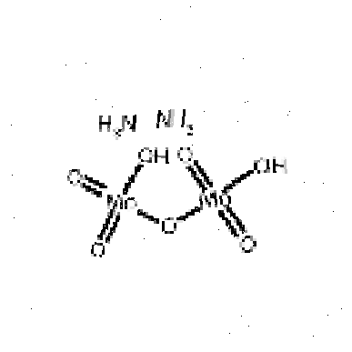 N.N.[O]=[Mo](=[O])([OH])[O][Mo](=[O])(=[O])[OH]